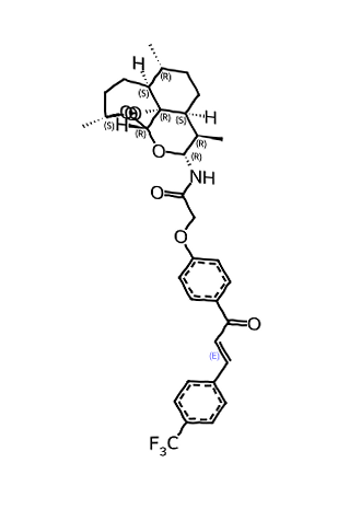 C[C@H]1[C@H](NC(=O)COc2ccc(C(=O)/C=C/c3ccc(C(F)(F)F)cc3)cc2)O[C@@H]2O[C@]3(C)CC[C@H]4[C@H](C)CC[C@@H]1[C@@]24OO3